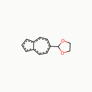 c1cc2ccc(C3OCCO3)ccc-2c1